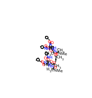 C=C(C#CCO[C@H](C)[C@H](NC(=O)[C@H](C)NC)C(=O)N1CC[C@@H]2[C@H]1[C@@H](OC(=O)Nc1ccccc1)CN2C(=O)OCc1ccccc1)CO[C@H](C)C(NC(=O)[C@H](C)NC)C(=O)N1CC[C@@H]2[C@H]1[C@@H](OC(=O)Nc1ccccc1)CN2C(=O)OCc1ccccc1